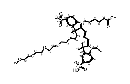 CCN1/C(=C/C=C/C2=[N+](CCCCCC(=O)O)c3ccc(S(=O)(=O)O)cc3C2(C)CCOCCOCCOCCOCCOC)C(C)(C)c2cc(S(=O)(=O)O)ccc21